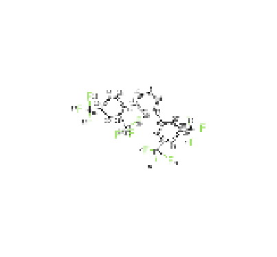 FC(F)(F)c1cc(-c2cccc(-c3ccc(C(F)(F)F)cc3C(F)(F)F)c2)cc(C(F)(F)F)c1